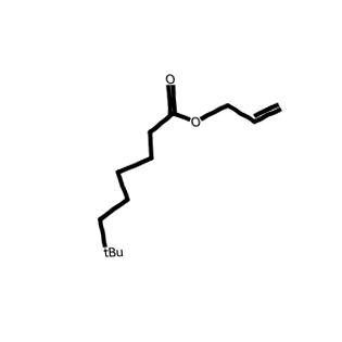 C=CCOC(=O)CCCCCC(C)(C)C